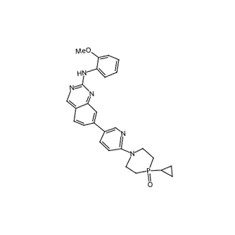 COc1ccccc1Nc1ncc2ccc(-c3ccc(N4CCP(=O)(C5CC5)CC4)nc3)cc2n1